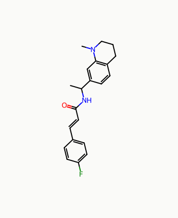 CC(NC(=O)C=Cc1ccc(F)cc1)c1ccc2c(c1)N(C)CCC2